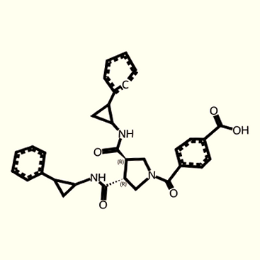 O=C(O)c1ccc(C(=O)N2C[C@H](C(=O)NC3CC3c3ccccc3)[C@@H](C(=O)NC3CC3c3ccccc3)C2)cc1